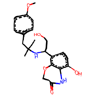 COc1ccc(CC(C)(C)NC(CO)c2ccc(O)c3c2OCC(=O)N3)cc1